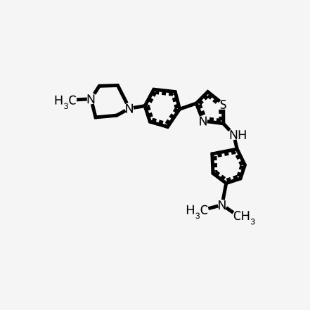 CN1CCN(c2ccc(-c3csc(Nc4ccc(N(C)C)cc4)n3)cc2)CC1